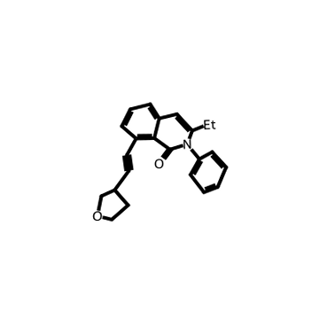 CCc1cc2cccc(C#CC3CCOC3)c2c(=O)n1-c1ccccc1